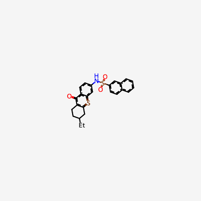 CCC1CCc2c(sc3cc(NS(=O)(=O)c4ccc5ccccc5c4)ccc3c2=O)C1